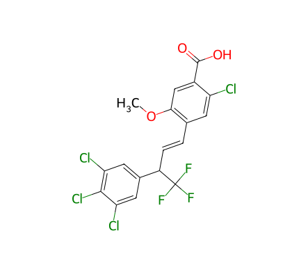 COc1cc(C(=O)O)c(Cl)cc1C=CC(c1cc(Cl)c(Cl)c(Cl)c1)C(F)(F)F